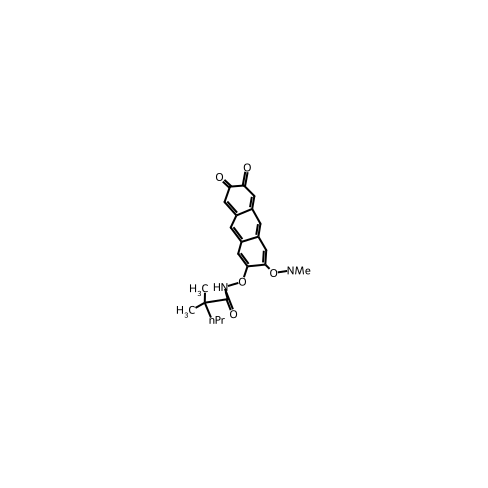 CCCC(C)(C)C(=O)NOc1cc2cc3c(cc2cc1ONC)=CC(=O)C(=O)C=3